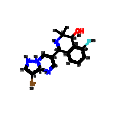 CC1(C)N=C(c2cnc3c(Br)cnn3c2)c2cccc(F)c2C1O